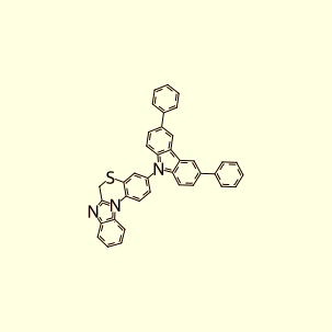 c1ccc(-c2ccc3c(c2)c2cc(-c4ccccc4)ccc2n3-c2ccc3c(c2)SCc2nc4ccccc4n2-3)cc1